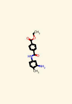 CCOC(=O)c1ccc(C(=O)Nc2ccc(C)c(N)c2)cc1